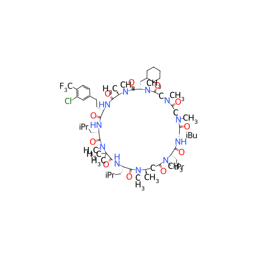 CC[C@H](C)[C@@H]1NC(=O)[C@H](CC(C)C)N(C)C(=O)C[C@@H](C)N(C)C(=O)[C@H](CC(C)C)NC(=O)C(C)(C)N(C)C(=O)[C@H](CC(C)C)NC(=O)[C@H](CCc2ccc(C(F)(F)F)c(Cl)c2)NC(=O)[C@@H](C)N(C)C(=O)[C@H](CC2CCCCC2)N(C)C(=O)CN(C)C(=O)CN(C)C1=O